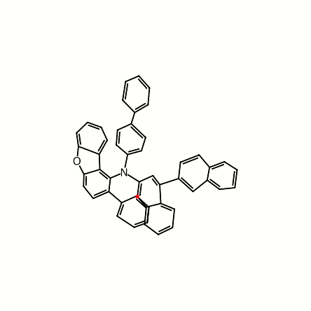 c1ccc(-c2ccc(N(c3cc(-c4ccc5ccccc5c4)c4ccccc4c3)c3c(-c4ccccc4)ccc4oc5ccccc5c34)cc2)cc1